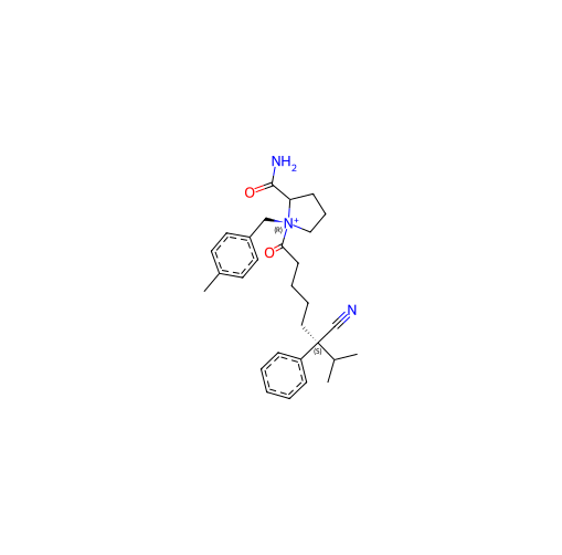 Cc1ccc(C[N@+]2(C(=O)CCCC[C@@](C#N)(c3ccccc3)C(C)C)CCCC2C(N)=O)cc1